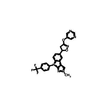 Cn1cc2c3cc(C4CC(Oc5cncnc5)=NO4)ccc3n(-c3ccc(C(F)(F)F)cc3)c2n1